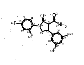 NC(=O)C1C(=O)N(c2ccc(F)cc2F)CC1c1cc(F)cc(F)c1